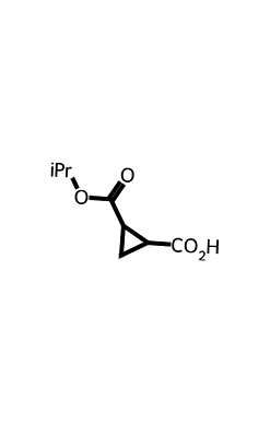 CC(C)OC(=O)C1CC1C(=O)O